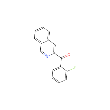 O=C(c1cc2ccccc2cn1)c1ccccc1F